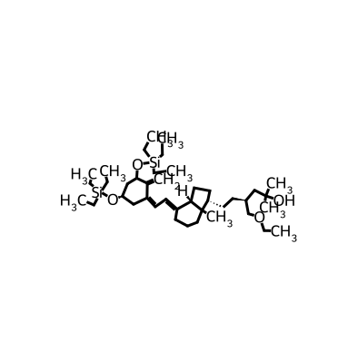 C=C1/C(=C\C=C2/CCCC3(C)[C@@H](CC[C@H](COCC)CC(C)(C)O)CC[C@@H]23)C[C@@H](O[Si](CC)(CC)CC)CC1O[Si](CC)(CC)CC